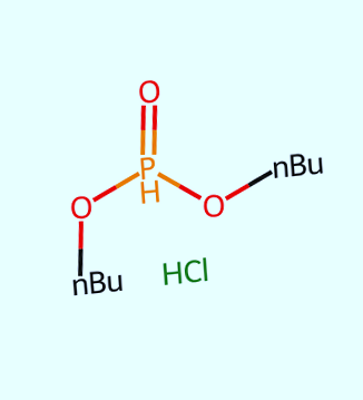 CCCCO[PH](=O)OCCCC.Cl